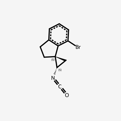 O=C=N[C@H]1C[C@]12CCc1cccc(Br)c12